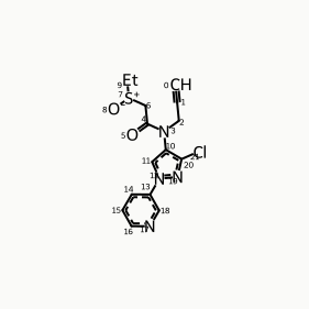 C#CCN(C(=O)C[S+]([O-])CC)c1cn(-c2cccnc2)nc1Cl